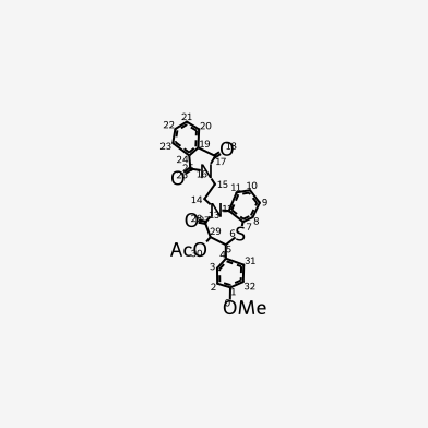 COc1ccc(C2Sc3ccccc3N(CCN3C(=O)c4ccccc4C3=O)C(=O)C2OC(C)=O)cc1